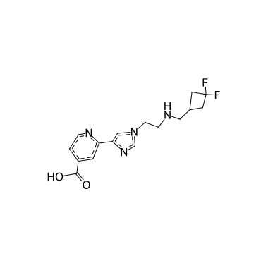 O=C(O)c1ccnc(-c2cn(CCNCC3CC(F)(F)C3)cn2)c1